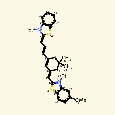 CCN1/C(=C/C=C/C2=CC(=C/c3sc4ccc(OC)cc4[n+]3CC)/CC(C)(C)C2)Sc2ccccc21